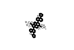 CC(C)(C)c1cc(-c2ccc3c4c(cccc24)-c2ccccc2O3)c2ccc3c(C(C)(C)C)cc(-c4ccc5c6c(cccc46)Oc4ccccc4-5)c4ccc1c2c43